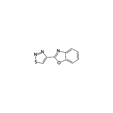 c1ccc2oc(-c3csnn3)nc2c1